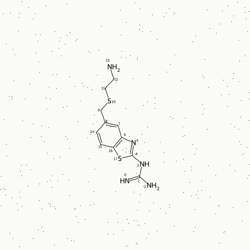 N=C(N)Nc1nc2cc(CSCCN)ccc2s1